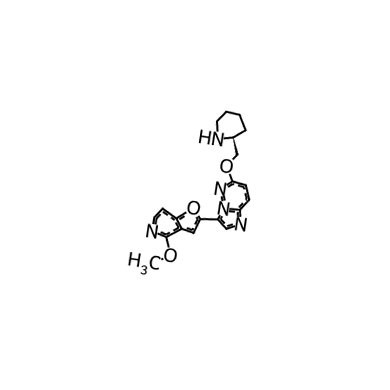 COc1nccc2oc(-c3cnc4ccc(OC[C@@H]5CCCCN5)nn34)cc12